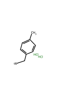 Cc1ccc([CH2][Al])cc1.Cl.Cl